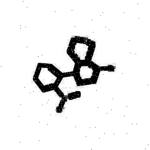 O=[N+]([O-])C1=CCCC=C1c1ccc(Br)c2ccccc12